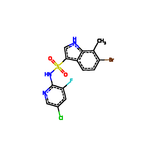 Cc1c(Br)ccc2c(S(=O)(=O)Nc3ncc(Cl)cc3F)c[nH]c12